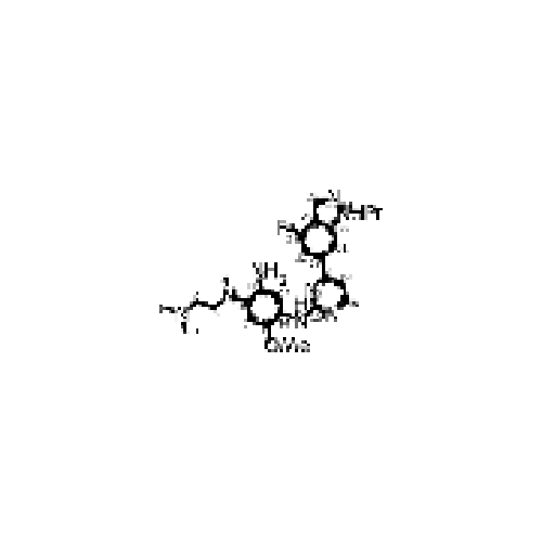 COc1cc(N(C)CCN(C)C)c(N)cc1Nc1nccc(-c2cc(F)c3cnn(C(C)C)c3c2)n1